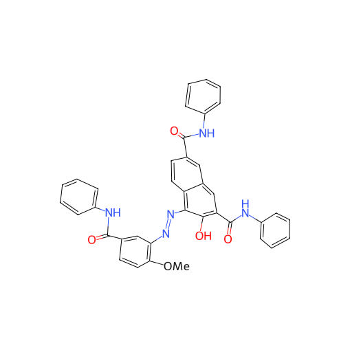 COc1ccc(C(=O)Nc2ccccc2)cc1N=Nc1c(O)c(C(=O)Nc2ccccc2)cc2cc(C(=O)Nc3ccccc3)ccc12